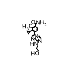 Cc1c(C(N)=O)ccc(-c2cnc3c(NCCCO)nccn23)c1C1CC1